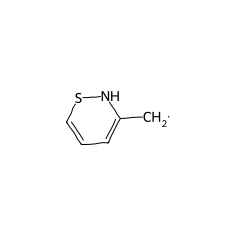 [CH2]C1=CC=CSN1